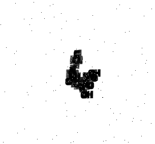 NC(CSC(C=O)N(CCO)c1ccc(C(=O)N2CCN(CCc3ccc(Cl)cc3)CC2)cc1)C(=O)O